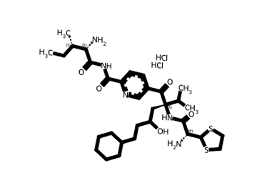 CC[C@H](C)[C@H](N)C(=O)NC(=O)c1ccc(C(=O)[C@@](CC(O)CCC2CCCCC2)(NC(=O)[C@@H](N)C2SCCS2)C(C)C)cn1.Cl.Cl